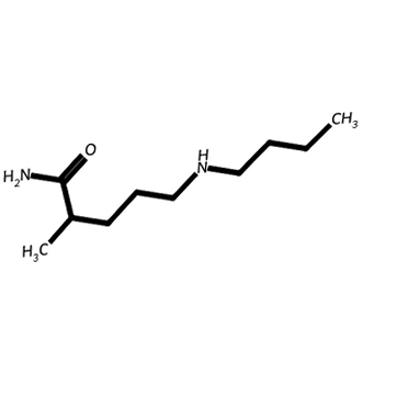 CCCCNCCCC(C)C(N)=O